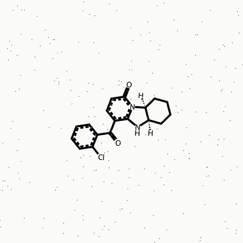 O=C(c1ccccc1Cl)c1ccc(=O)n2c1N[C@@H]1CCCC[C@@H]12